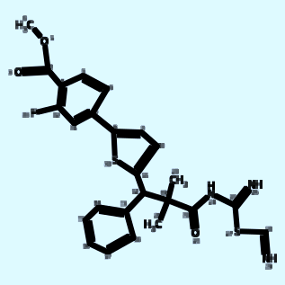 COC(=O)c1ccc(-c2ccc(C(c3ccccc3)C(C)(C)C(=O)NC(=N)SC=N)s2)cc1F